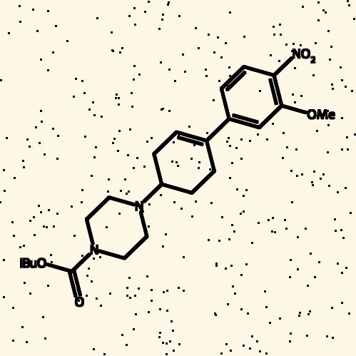 COc1cc(C2=CCC(N3CCN(C(=O)OCC(C)C)CC3)CC2)ccc1[N+](=O)[O-]